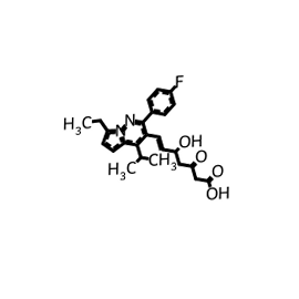 CCc1ccc2c(C(C)C)c(C=CC(O)CC(=O)CC(=O)O)c(-c3ccc(F)cc3)nn12